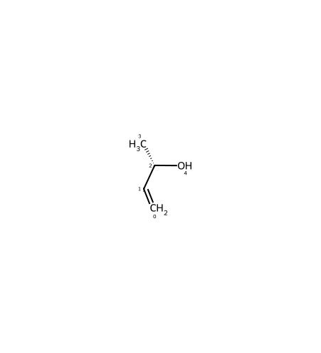 C=[C][C@H](C)O